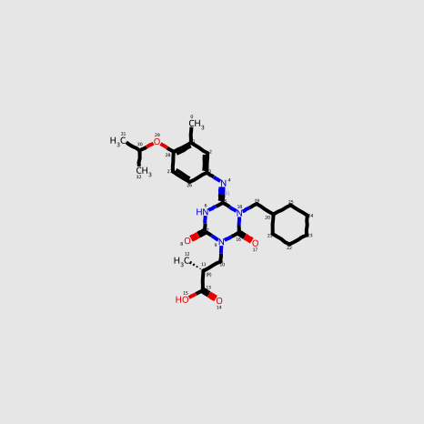 Cc1cc(/N=c2\[nH]c(=O)n(C[C@@H](C)C(=O)O)c(=O)n2CC2CCCCC2)ccc1OC(C)C